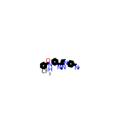 CN(C)Cc1ccc(-n2ccc3c(-c4cccc(NC(=O)c5cccc(C(F)(F)F)c5)c4)ncnc32)cc1